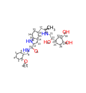 CCOc1ccccc1CNC(=O)c1cc2cc(C[C@@H](C)NC[C@H](O)c3ccc(O)c(CO)c3)ccc2[nH]1